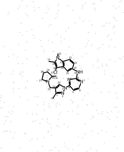 Cc1nn(-c2ccnc(Nc3ccc4c(c3)c(Cl)c(C)n4C)n2)cc1CN1CCCC1C